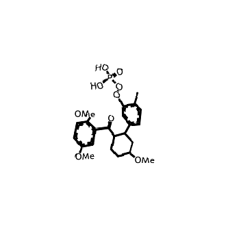 COc1ccc(OC)c(C(=O)C2CCC(OC)CC2c2ccc(C)c(OOP(=O)(O)O)c2)c1